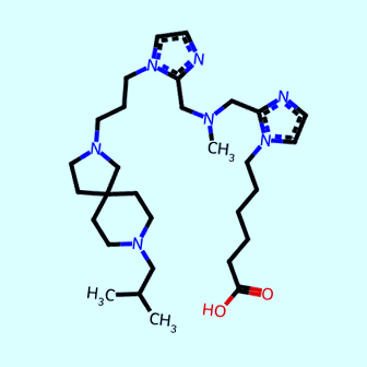 CC(C)CN1CCC2(CC1)CCN(CCCn1ccnc1CN(C)Cc1nccn1CCCCCC(=O)O)C2